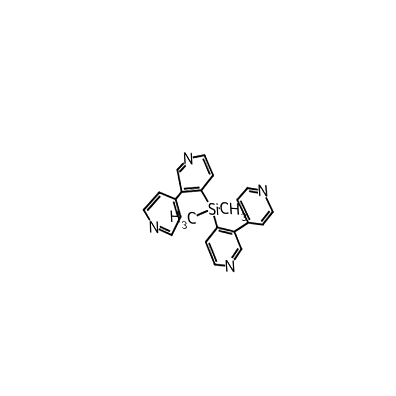 C[Si](C)(c1ccncc1-c1ccncc1)c1ccncc1-c1ccncc1